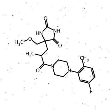 COCC1(CC(C)C(=O)N2CCN(c3cc(F)ccc3C)CC2)NC(=O)NC1=O